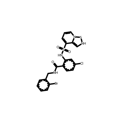 O=C(NCc1ccccc1Br)c1ccc(Cl)cc1NS(=O)(=O)C1=CC=CN2SNC=C12